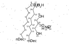 CCCCCCCCCCCCCCCCCC(=O)O.CCCCCCCCCCCCCCCCCC(=O)O.OCC(O)CO.[Cl-].[Na+]